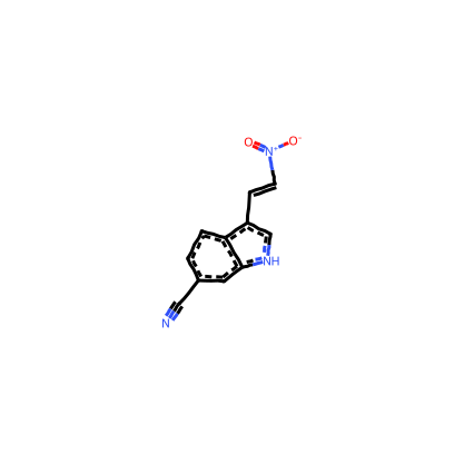 N#Cc1ccc2c(C=C[N+](=O)[O-])c[nH]c2c1